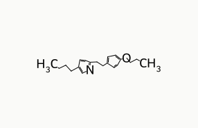 CCCCc1ccc(CCc2ccc(OCCC)cc2)nc1